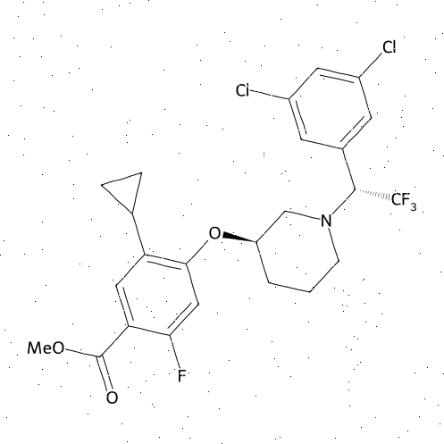 COC(=O)c1cc(C2CC2)c(O[C@@H]2CCCN([C@H](c3cc(Cl)cc(Cl)c3)C(F)(F)F)C2)cc1F